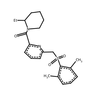 CCC1CCCCN1C(=O)c1cccc(CS(=O)(=O)c2c(C)cccc2C)n1